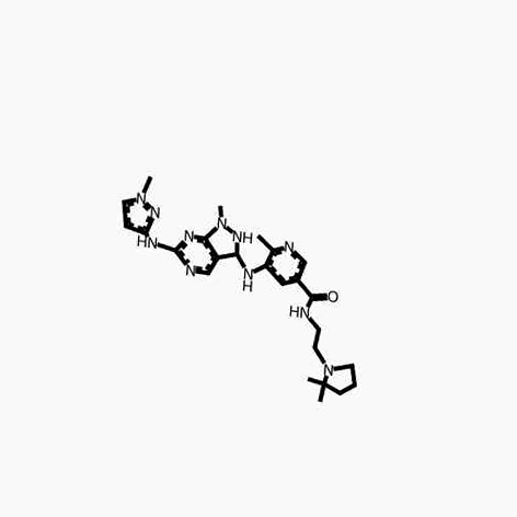 Cc1ncc(C(=O)NCCN2CCCC2(C)C)cc1NC1NN(C)c2nc(Nc3ccn(C)n3)ncc21